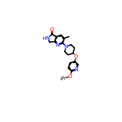 Cc1cc2c(nc1N1CCC(Oc3ccc(OC(C)C)nc3)CC1)CNC2=O